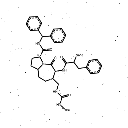 CNC(Cc1ccccc1)C(=O)NC1C(=O)N2C(CCC1CNC(=O)NC(C)(C)C)CC[C@H]2C(=O)NC(c1ccccc1)c1ccccc1